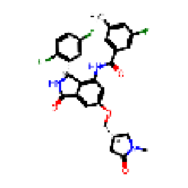 CN1C[C@@H](COc2cc(NC(=O)c3cc(F)cc(C(F)(F)F)c3)c3c(c2)C(=O)N[C@@H]3c2cc(F)ccc2Cl)CC1=O